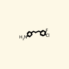 Nc1ccc(C[CH]Cc2ccc(Cl)c(F)c2)cc1